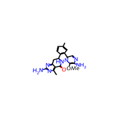 COc1nc(-c2cc(C)ccc2C2Cc3nc(N)nc(C)c3C(=O)N2)cnc1N